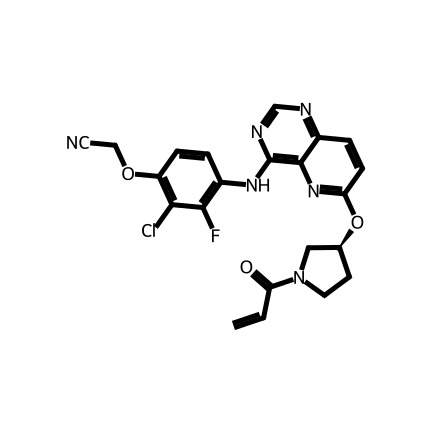 C=CC(=O)N1CC[C@H](Oc2ccc3ncnc(Nc4ccc(OCC#N)c(Cl)c4F)c3n2)C1